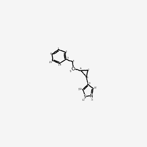 c1ccc(COC2CC2c2cnsc2)cc1